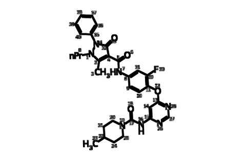 CCCn1c(C)c(C(=O)Nc2ccc(Oc3cc(NC(=O)N4CCC(C)CC4)ncn3)c(F)c2)c(=O)n1-c1ccccc1